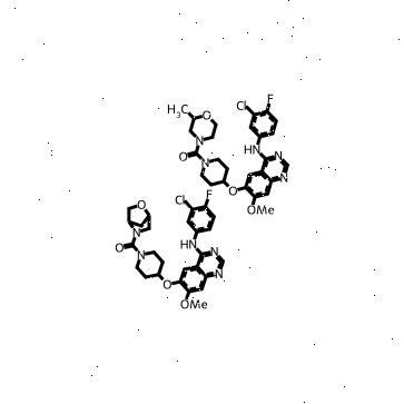 COc1cc2ncnc(Nc3ccc(F)c(Cl)c3)c2cc1OC1CCN(C(=O)N2CC3CC2CO3)CC1.COc1cc2ncnc(Nc3ccc(F)c(Cl)c3)c2cc1OC1CCN(C(=O)N2CCOC(C)C2)CC1